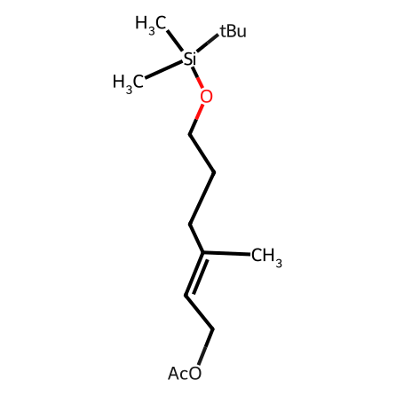 CC(=O)OC/C=C(\C)CCCO[Si](C)(C)C(C)(C)C